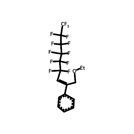 CCOCC(=CC(F)(F)C(F)(F)C(F)(F)C(F)(F)C(F)(F)C(F)(F)F)c1ccccc1